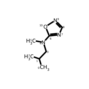 CC(C)CN(C)c1ncno1